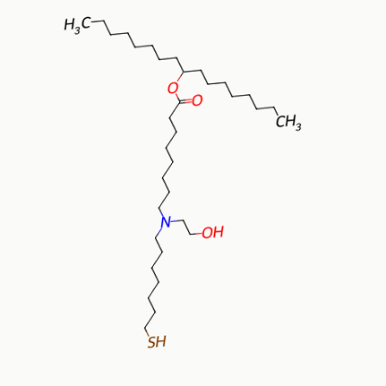 CCCCCCCCC(CCCCCCCC)OC(=O)CCCCCCCN(CCO)CCCCCCCS